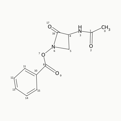 CC(=O)NC1CN(OC(=O)c2ccccc2)C1=O